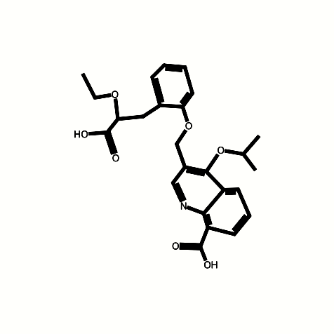 CCOC(Cc1ccccc1OCc1cnc2c(C(=O)O)cccc2c1OC(C)C)C(=O)O